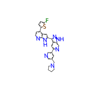 Fc1ccc(-c2ccnc3[nH]c(-c4n[nH]c5cnc(-c6cncc(CN7CCCC7)c6)cc45)cc23)s1